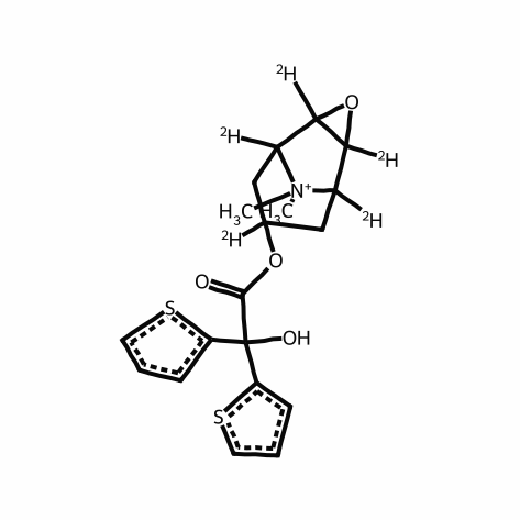 [2H]C1(OC(=O)C(O)(c2cccs2)c2cccs2)CC2([2H])C3([2H])OC3([2H])C([2H])(C1)[N+]2(C)C